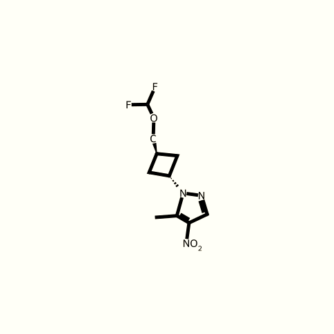 Cc1c([N+](=O)[O-])cnn1[C@H]1C[C@H](COC(F)F)C1